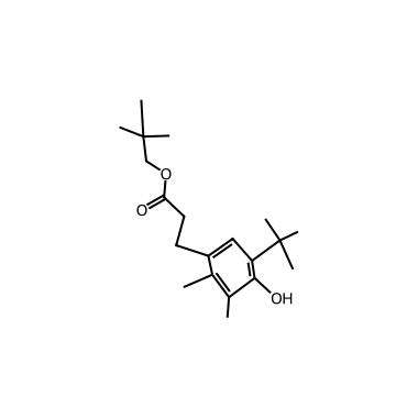 Cc1c(CCC(=O)OCC(C)(C)C)cc(C(C)(C)C)c(O)c1C